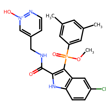 COP(=O)(c1cc(C)cc(C)c1)c1c(C(=O)NCc2ccn[n+](O)c2)[nH]c2ccc(Cl)cc12